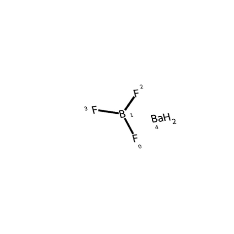 FB(F)F.[BaH2]